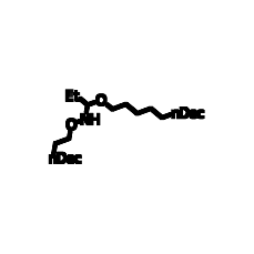 CCCCCCCCCCCCCCCOC(CC)NOCCCCCCCCCCCC